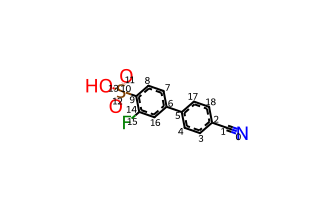 N#Cc1ccc(-c2ccc(S(=O)(=O)O)c(F)c2)cc1